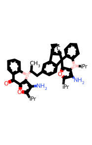 CC(C)B1c2ccccc2C2(c3ccccc3-c3cc(CC(C)B4c5ccccc5C(=O)c5oc(C(C)C)c(N)c54)ccc32)c2oc(C(C)C)c(N)c21